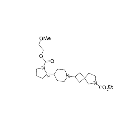 CCOC(=O)N1CCC2(CC(N3CCC([C@@H]4CCCN4C(=O)OCCOC)CC3)C2)C1